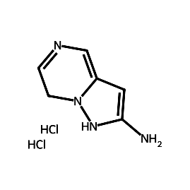 Cl.Cl.NC1=CC2=CN=CCN2N1